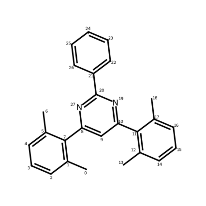 Cc1cccc(C)c1-c1cc(-c2c(C)cccc2C)nc(-c2cc[c]cc2)n1